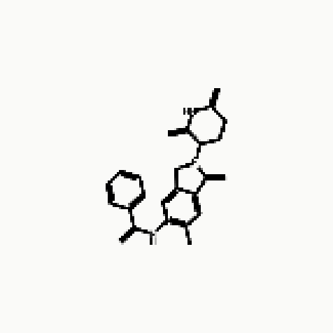 C=C1CCC(N2Cc3cc(NC(=C)c4ccccc4)c(C)cc3C2=C)C(=C)N1